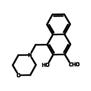 O=Cc1cc2ccccc2c(CN2CCOCC2)c1O